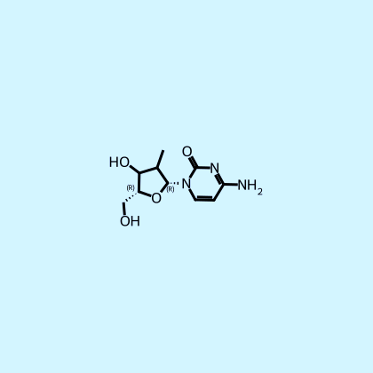 CC1C(O)[C@@H](CO)O[C@H]1n1ccc(N)nc1=O